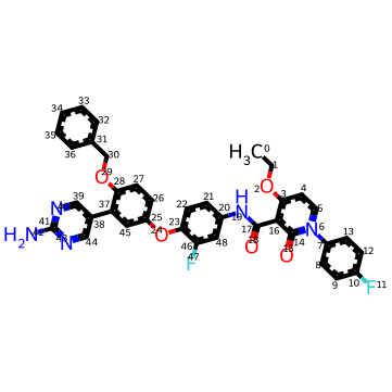 CCOc1ccn(-c2ccc(F)cc2)c(=O)c1C(=O)Nc1ccc(Oc2ccc(OCc3ccccc3)c(-c3cnc(N)nc3)c2)c(F)c1